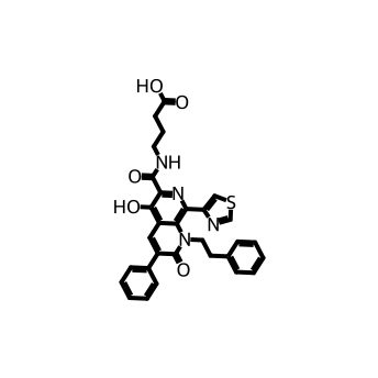 O=C(O)CCCNC(=O)c1nc(-c2cscn2)c2c(cc(-c3ccccc3)c(=O)n2CCc2ccccc2)c1O